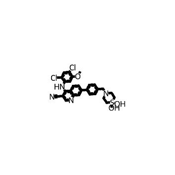 COc1cc(Nc2c(C#N)cnc3cc(-c4ccc(CN5CCS(O)(O)CC5)cc4)ccc23)c(Cl)cc1Cl